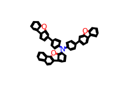 c1ccc2c(c1)ccc1c3cccc(N(c4ccc(-c5ccc6c(c5)oc5ccccc56)cc4)c4ccc(-c5ccc6c(c5)oc5ccccc56)cc4)c3oc21